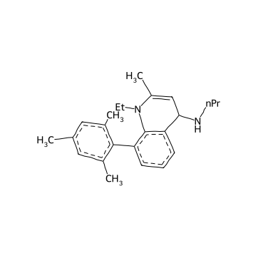 CCCNC1C=C(C)N(CC)c2c(-c3c(C)cc(C)cc3C)cccc21